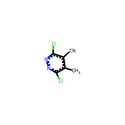 Cc1c(Cl)nnc(Cl)c1C#N